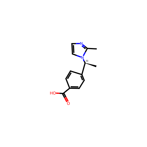 Cc1nccn1[C@@H](C)c1ccc(C(=O)O)cc1